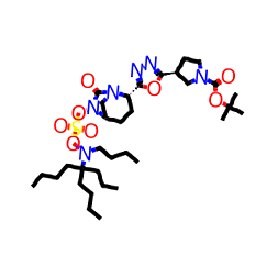 CCCCN(OS(=O)(=O)ON1C(=O)N2CC1CC[C@H]2c1nnc([C@H]2CCN(C(=O)OC(C)(C)C)C2)o1)C(CCC)(CCCC)CCCC